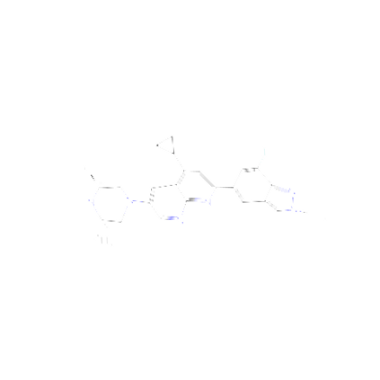 C[C@H]1CN(c2cnc3nc(-c4cc(F)c5nn(C)cc5c4)cc(C4CC4)c3c2)C[C@H](C)N1